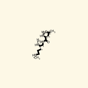 CNCCC[C@@H](CNC(=O)[C@H](CC(C)C)NC)NC